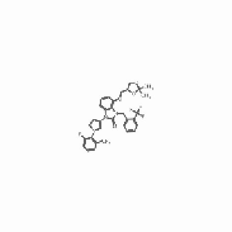 Cc1cccc(F)c1N1CC[C@@H](n2c(=O)n(Cc3ccccc3C(F)(F)F)c3c(OCC4COC(C)(C)O4)cccc32)C1